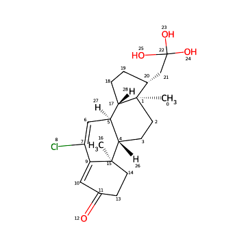 C[C@]12CC[C@H]3[C@@H](C=C(Cl)C4=CC(=O)CC[C@@]43C)[C@@H]1CC[C@@H]2CC(O)(O)O